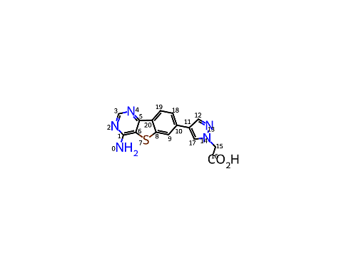 Nc1ncnc2c1sc1cc(-c3cnn(CC(=O)O)c3)ccc12